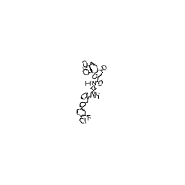 O=C(COc1ccc(Cl)c(F)c1)NC12CC(NC(=O)c3cc(=O)c4ccc5c(c4o3)OCO5)(C1)C2